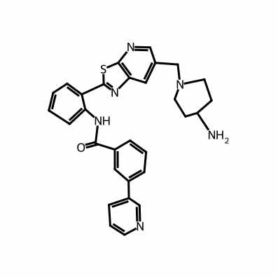 NC1CCN(Cc2cnc3sc(-c4ccccc4NC(=O)c4cccc(-c5cccnc5)c4)nc3c2)CC1